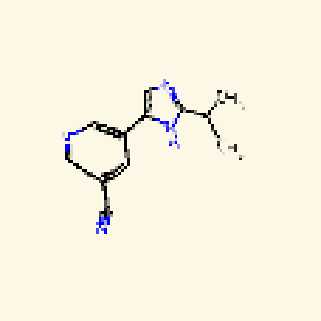 CC(C)c1ncc(-c2cncc(C#N)c2)[nH]1